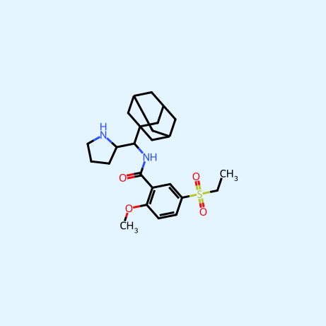 CCS(=O)(=O)c1ccc(OC)c(C(=O)NC(C2CCCN2)C23CC4CC(CC(C4)C2)C3)c1